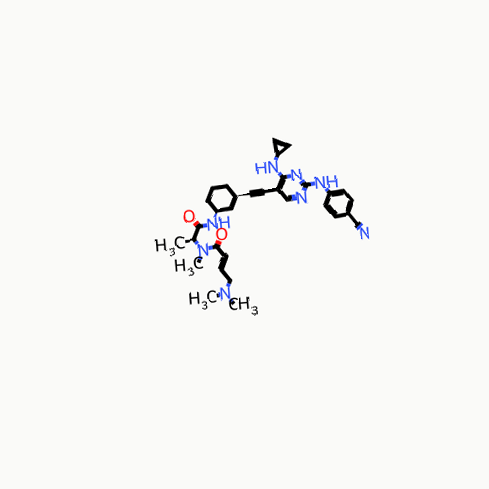 C[C@@H](C(=O)N[C@H]1CCC[C@@H](C#Cc2cnc(Nc3ccc(C#N)cc3)nc2NC2CC2)C1)N(C)C(=O)/C=C/CN(C)C